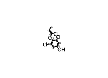 CC=C(Cl)Oc1c(Cl)cc(O)cc1Cl